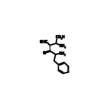 NC(Cc1ccccc1)C(=O)C(C=O)C(N)C(=O)O